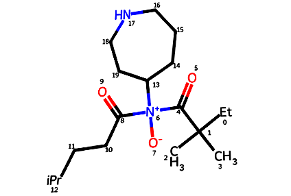 [CH2]CC(C)(C)C(=O)[N+]([O-])(C(=O)CCC(C)C)C1CCCNCC1